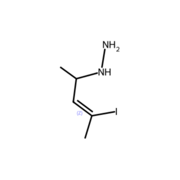 C/C(I)=C/C(C)NN